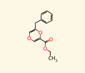 CCOC(=O)C1=COC=C(Cc2ccccc2)O1